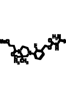 COCCC(=O)N1CCN(c2cccc(COC(=O)NC(=N)N)c2F)CC1(C)C